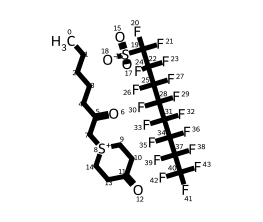 CCCCCC(=O)C[S+]1CCC(=O)CC1.O=S(=O)([O-])C(F)(F)C(F)(F)C(F)(F)C(F)(F)C(F)(F)C(F)(F)C(F)(F)C(F)(F)F